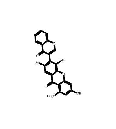 CC(=O)c1cc2c(=O)c3c(C(=O)O)cc(O)cc3oc2c(C(C)=O)c1-c1coc2ccccc2c1=O